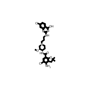 CO[C@@H]1CN(CCCNc2nc(O)c3ccc(Cl)cc3n2)CC[C@@H]1NC(=O)c1cc(Cl)c(N)c2c1OC(C)(C)C2